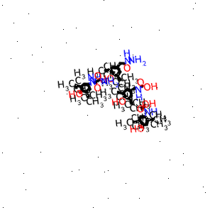 CC(C)(C)c1cc(CC(=O)NN)cc(C(C)(C)C)c1O.CC(C)(C)c1cc(CNC(=O)O)cc(C(C)(C)C)c1O.CC(C)(C)c1cc(N(N)C(=O)C(N)=O)cc(C(C)(C)C)c1O.CC(C)(C)c1cc(NC(=O)O)c(C(C)(C)C)cc1O